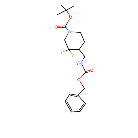 CC(C)(C)OC(=O)N1CCC(CNC(=O)OCc2ccccc2)C(F)(F)C1